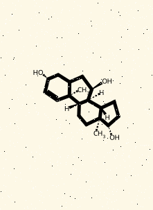 C[C@]12CC[C@H]3[C@@H]([C@H](O)CC4C[C@@H](O)C=C[C@@]43C)[C@@H]1CC[C@@H]2O